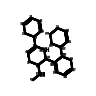 CNC1CC=C(C2C=CC=CC2)NC1C1=CC=CCC1C1C=CCCC1